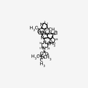 Cc1ccnc(C(C)C)c1-n1c(=O)nc(N2CCN(C(=O)OC(C)(C)C)C[C@@H]2C)c2c3c(c(Cl)nc21)CCO3